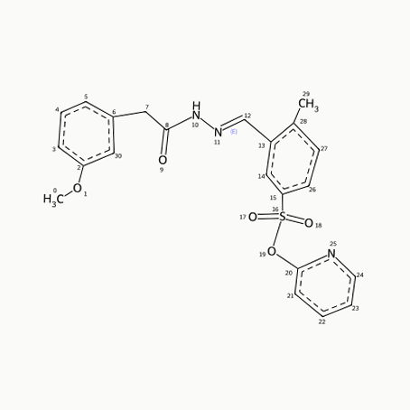 COc1cccc(CC(=O)N/N=C/c2cc(S(=O)(=O)Oc3ccccn3)ccc2C)c1